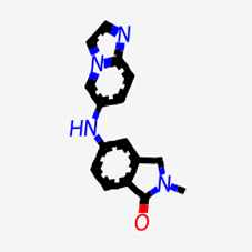 CN1Cc2cc(Nc3ccc4nccn4c3)ccc2C1=O